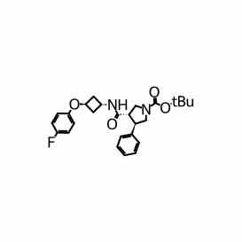 CC(C)(C)OC(=O)N1C[C@@H](C(=O)N[C@H]2C[C@H](Oc3ccc(F)cc3)C2)[C@H](c2ccccc2)C1